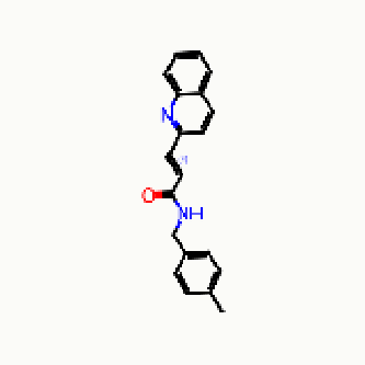 Cc1ccc(CNC(=O)/C=C/c2ccc3ccccc3n2)cc1